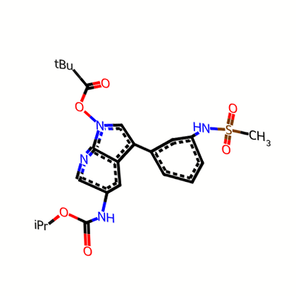 CC(C)OC(=O)Nc1cnc2c(c1)c(-c1cccc(NS(C)(=O)=O)c1)cn2OC(=O)C(C)(C)C